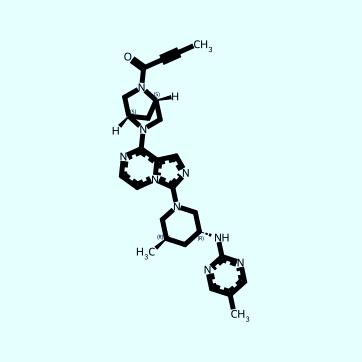 CC#CC(=O)N1C[C@@H]2C[C@H]1CN2c1nccn2c(N3C[C@H](C)C[C@@H](Nc4ncc(C)cn4)C3)ncc12